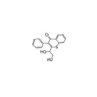 O=c1c(-c2ccccc2)c(C(O)CO)sc2ccccc12